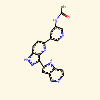 CCCCC(=O)Nc1cncc(-c2ccc3[nH]nc(-c4cc5cnccc5[nH]4)c3n2)c1